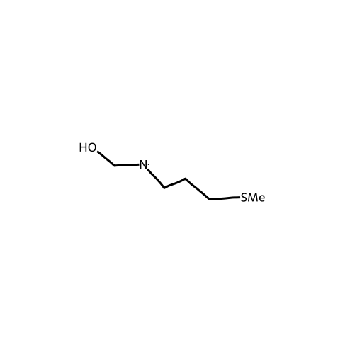 CSCCC[N]CO